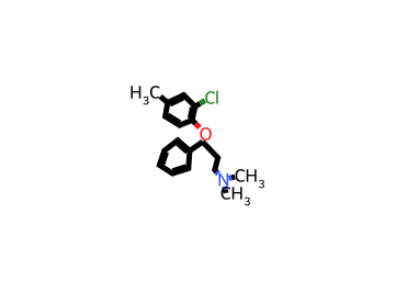 Cc1ccc(OC(CCN(C)C)c2ccccc2)c(Cl)c1